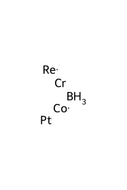 B.[Co].[Cr].[Pt].[Re]